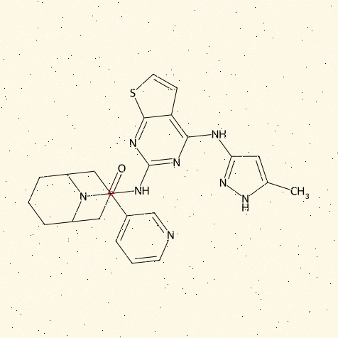 Cc1cc(Nc2nc(NC3CC4CCCC(C3)N4C(=O)c3cccnc3)nc3sccc23)n[nH]1